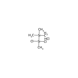 C[Si](C)(C)[Si](C)(Cl)Cl.Cl